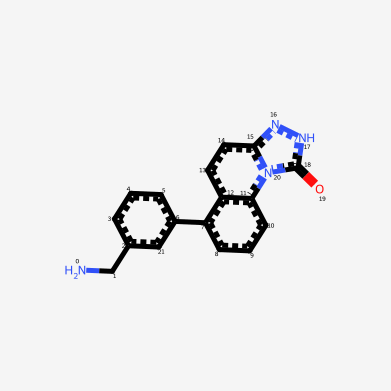 NCc1cccc(-c2cccc3c2ccc2n[nH]c(=O)n23)c1